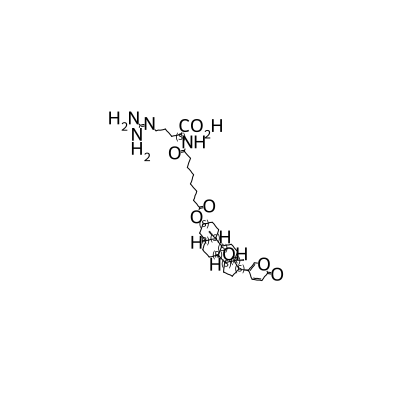 C[C@]12CC[C@H](OC(=O)CCCCCCC(=O)N[C@@H](CCCN=C(N)N)C(=O)O)C[C@H]1CC[C@@H]1[C@@H]2CC[C@]2(C)[C@@H](c3ccc(=O)oc3)CC[C@]12O